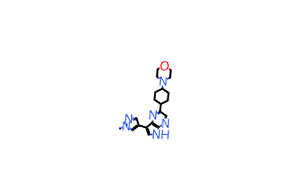 Cn1cc(-c2c[nH]c3ncc(C4CCC(N5CCOCC5)CC4)nc23)cn1